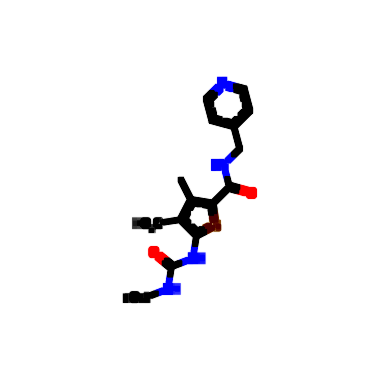 CCCCCCCCNC(=O)Nc1sc(C(=O)NCc2ccncc2)c(C)c1C(=O)O